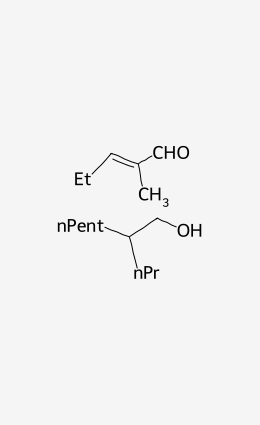 CCC=C(C)C=O.CCCCCC(CO)CCC